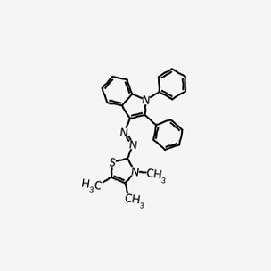 CC1=C(C)N(C)C(N=Nc2c(-c3ccccc3)n(-c3ccccc3)c3ccccc23)S1